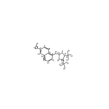 COc1ccc2c(OC3CC(C(C)(C)C)N(C(C)(C)C)C3)ccnc2c1